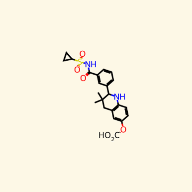 CC1(C)Cc2cc(OC(=O)O)ccc2NC1c1cccc(C(=O)NS(=O)(=O)C2CC2)c1